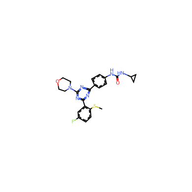 CSc1ccc(F)cc1-c1nc(-c2ccc(NC(=O)NC3CC3)cc2)nc(N2CCOCC2)n1